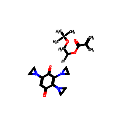 C=C(C)C(=O)OC(CC)[SiH2]O[Si](C)(C)C.O=C1C=C(N2CC2)C(=O)C(N2CC2)=C1N1CC1